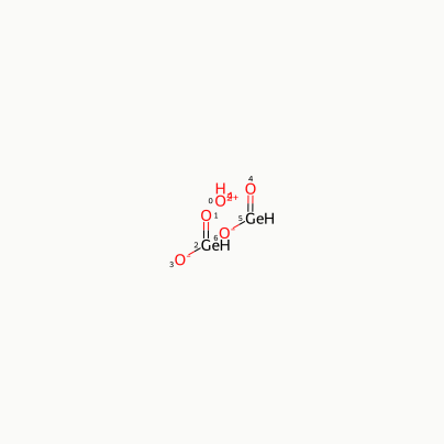 [OH4+2].[O]=[GeH][O-].[O]=[GeH][O-]